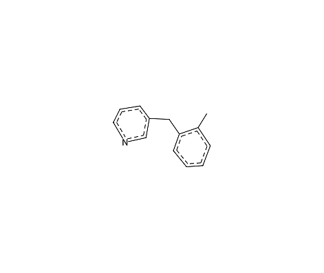 Cc1ccccc1Cc1cccnc1